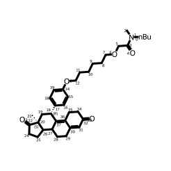 CCCCN(C)C(=O)COCCCCCCOc1ccc([C@H]2C[C@]3(C)C(=O)CCC3C3CCC4=CC(=O)CCC4=C32)cc1